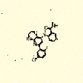 CNC(=O)c1cnccc1Nc1cc(-c2cc(Cl)ccc2F)nc2c1OCCN2